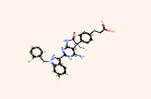 C[C@@]1(c2ccc(CCC(=O)O)cc2)C(=O)Nc2nc(-c3nn(Cc4ccccc4F)c4cc(F)ccc34)nc(N)c21